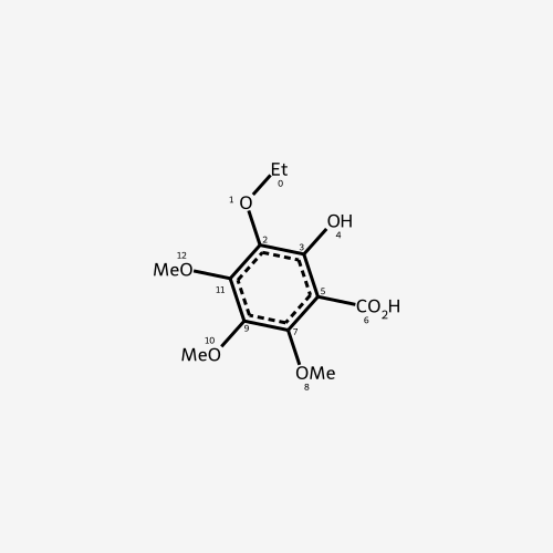 CCOc1c(O)c(C(=O)O)c(OC)c(OC)c1OC